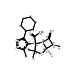 Cc1noc(C2CCCCC2)c1[C@@]1(C(=O)O)N2C(=S)[C@@H](C)[C@H]2SC1(C)C